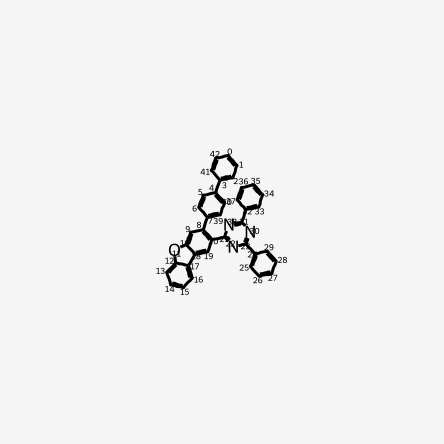 c1ccc(-c2ccc(-c3cc4oc5ccccc5c4cc3-c3nc(-c4ccccc4)nc(-c4ccccc4)n3)cc2)cc1